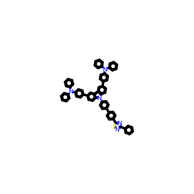 c1ccc(-c2nsc(-c3ccc(-c4ccc(-n5c6ccc(-c7ccc(N(c8ccccc8)c8ccccc8)cc7)cc6c6cc(-c7ccc(N(c8ccccc8)c8ccccc8)cc7)ccc65)cc4)cc3)n2)cc1